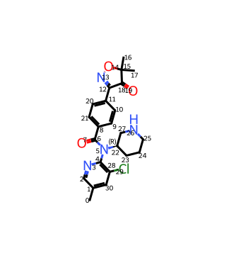 Cc1cnc(N(C(=O)c2ccc(C3=NOC(C)(C)C3=O)cc2)[C@@H]2CCCNC2)c(Cl)c1